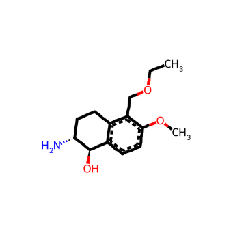 CCOCc1c(OC)ccc2c1CC[C@@H](N)[C@@H]2O